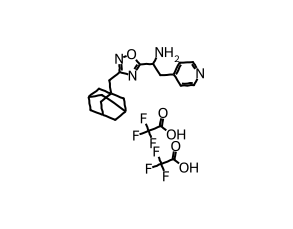 NC(Cc1ccncc1)c1nc(CC23CC4CC(CC(C4)C2)C3)no1.O=C(O)C(F)(F)F.O=C(O)C(F)(F)F